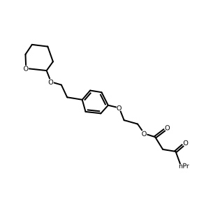 CCCC(=O)CC(=O)OCCOc1ccc(CCOC2CCCCO2)cc1